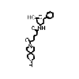 O=C(O)CC(CCc1ccccc1)NC(=O)CCCC(=O)N1CCC2(CCNCC2)CC1